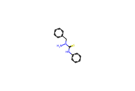 NN(Cc1ccccc1)C(=S)Nc1ccccc1